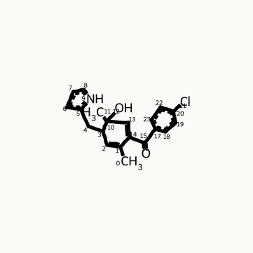 CC1=CC(Cc2ccc[nH]2)C(C)(O)C=C1C(=O)c1ccc(Cl)cc1